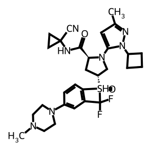 Cc1cc(N2C[C@H]([SH]3(=O)c4ccc(N5CCN(C)CC5)cc4C3(F)F)C[C@H]2C(=O)NC2(C#N)CC2)n(C2CCC2)n1